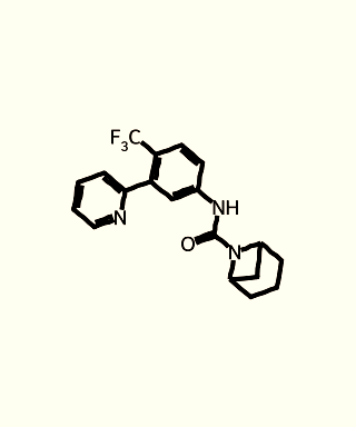 O=C(Nc1ccc(C(F)(F)F)c(-c2ccccn2)c1)N1C2CCCC1C2